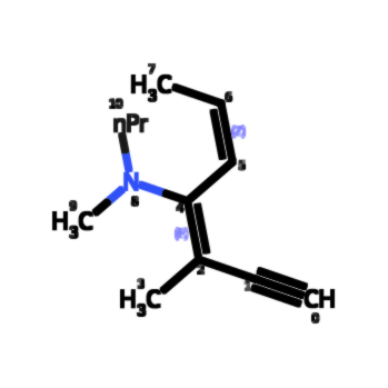 C#C/C(C)=C(\C=C/C)N(C)CCC